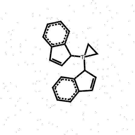 C1=C[CH]([Ti]2([CH]3C=Cc4ccccc43)[CH2][CH2]2)c2ccccc21